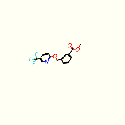 COC(=O)c1cccc(COc2ccc(C(F)(F)F)cn2)c1